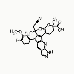 COc1cc(-n2c(C(C)(C)CC#N)c(C3CCC(C)(C(=O)O)OC3)c3nc4[nH]ncc4cc32)ccc1F